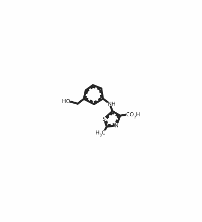 Cc1nc(C(=O)O)c(Nc2cccc(CO)c2)s1